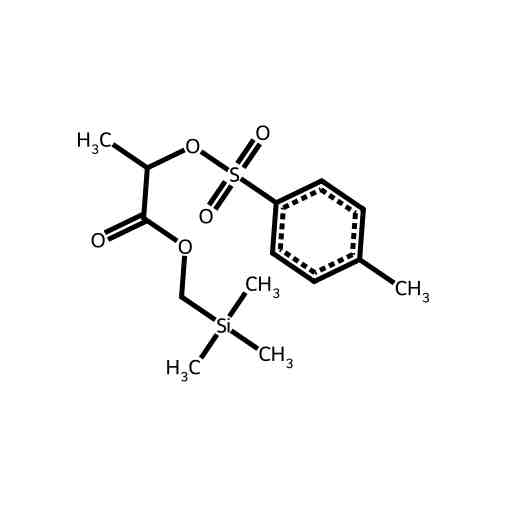 Cc1ccc(S(=O)(=O)OC(C)C(=O)OC[Si](C)(C)C)cc1